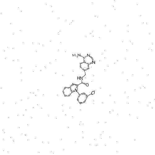 Nc1ncnc2cc(CNC(=O)c3cc4ccccc4n3-c3cccc(Cl)c3)ccc12